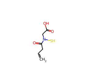 C=CCC(=O)N(S)CC(=O)O